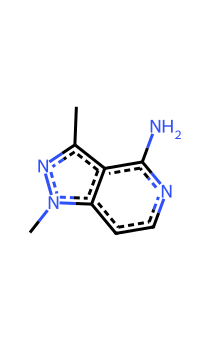 Cc1nn(C)c2ccnc(N)c12